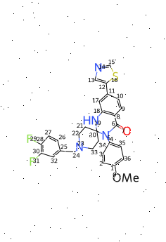 COc1ccc(N2C(=O)c3ccc(-c4cncs4)cc3NC23CCN(Cc2ccc(F)c(F)c2)CC3)cc1